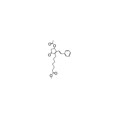 COC(=O)CCCCCCC1=C(C=Cc2ccccc2)C(OC(C)=O)CC1=O